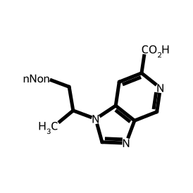 CCCCCCCCCCC(C)n1cnc2cnc(C(=O)O)cc21